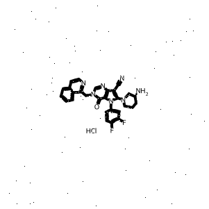 Cl.N#Cc1c(N2CCC[C@H](N)C2)n(-c2ccc(F)c(F)c2)c2c(=O)n(Cc3nccc4ccccc34)cnc12